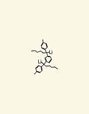 [Li][C](CCCCC)(c1ccc(C)cc1)c1cccc([C]([Li])(CCCCC)c2ccc(C)cc2)c1